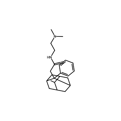 CC1C2CC3CC1CC(C2)C3(CC(=O)NCCN(C)C)c1ccccc1